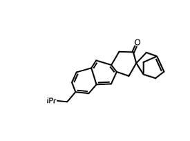 CC(C)Cc1ccc2cc3c(cc2c1)CC1(CC2=CCC1C2)C(=O)C3